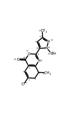 CC1CC(Cl)=Cc2c1nc(-c1cc(C(F)(F)F)nn1C(C)(C)C)oc2=O